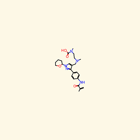 C=C(C)C(=O)Nc1ccc(-c2nn(C3CCCCO3)cc2CN(C)CCN(C)C(=O)O)cc1